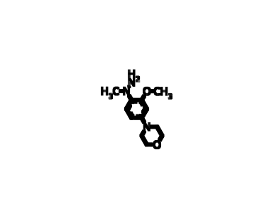 COc1cc(N2CCOCC2)ccc1N(C)N